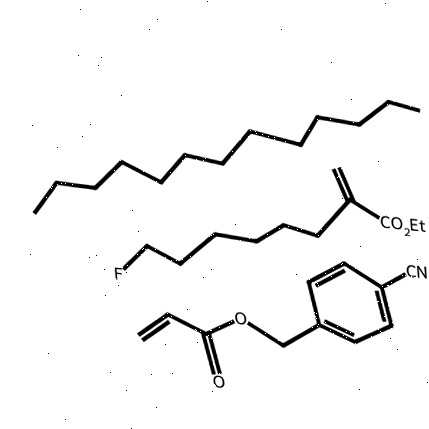 C=C(CCCCCCF)C(=O)OCC.C=CC(=O)OCc1ccc(C#N)cc1.CCCCCCCCCCCCC